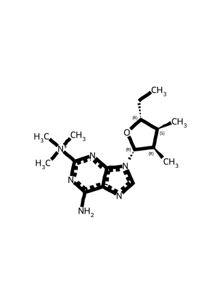 CC[C@H]1O[C@@H](n2cnc3c(N)nc([N+](C)(C)C)nc32)[C@H](C)[C@@H]1C